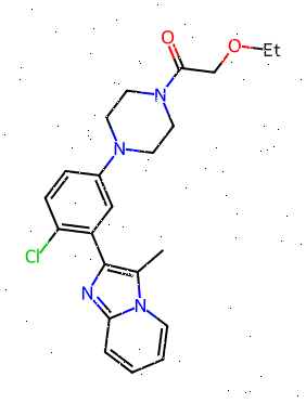 CCOCC(=O)N1CCN(c2ccc(Cl)c(-c3nc4ccccn4c3C)c2)CC1